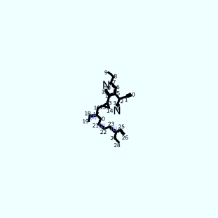 C#CC(C#N)c1cc(CC)ncc1C1CC1C/C(=C/C)C/C=C\C=C(\C=C)CC